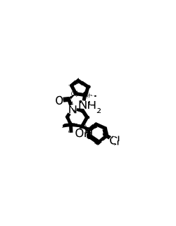 CC1(C)CN(C(=O)[C@H]2CCC[C@@]2(C)N)CC[C@]1(O)c1ccc(Cl)cc1